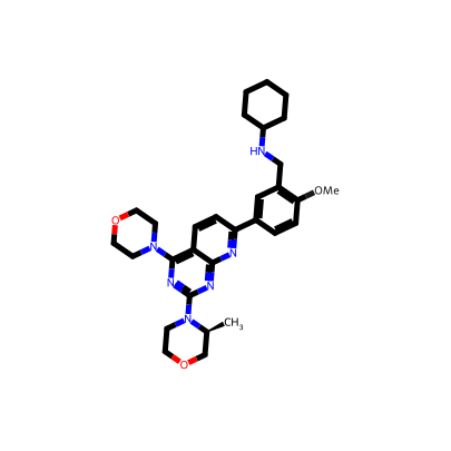 COc1ccc(-c2ccc3c(N4CCOCC4)nc(N4CCOC[C@@H]4C)nc3n2)cc1CNC1CCCCC1